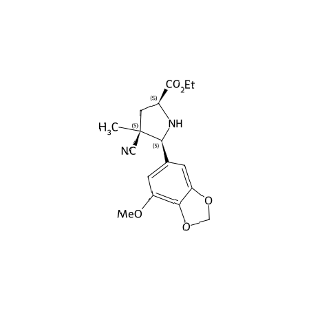 CCOC(=O)[C@@H]1C[C@](C)(C#N)[C@H](c2cc(OC)c3c(c2)OCO3)N1